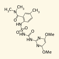 COc1cc(OC)nc(NC(=O)NS(=O)(=O)Nc2ccc(C)cc2C(=O)N(C)C)n1